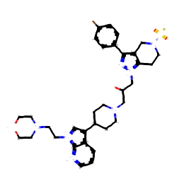 CS(=O)(=O)N1CCc2c(c(-c3ccc(Br)cc3)nn2CC(O)CN2CCC(c3cn(CCN4CCOCC4)c4ncccc34)CC2)C1